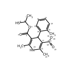 CC1=C(C(=O)OC(C)S)C(c2ccccc2C)C([N+](=O)[O-])=C(C)N1